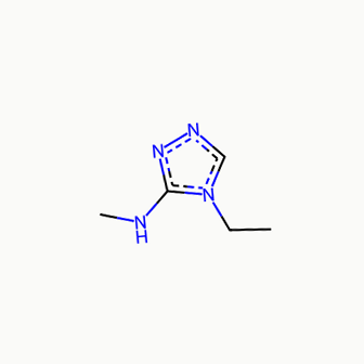 CCn1cnnc1NC